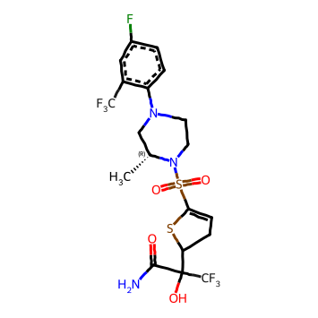 C[C@@H]1CN(c2ccc(F)cc2C(F)(F)F)CCN1S(=O)(=O)C1=CCC(C(O)(C(N)=O)C(F)(F)F)S1